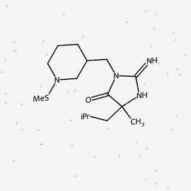 CSN1CCCC(CN2C(=N)NC(C)(CC(C)C)C2=O)C1